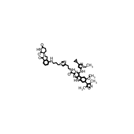 CCn1nc(C2CC2)cc1Nc1nc(C(=O)NCCc2cn(CCCNc3cccc4c3CN(C3CCC(=O)NC3=O)C4=O)cn2)nc2[nH]c3cc(-c4c(C)noc4C)c(OC)cc3c12